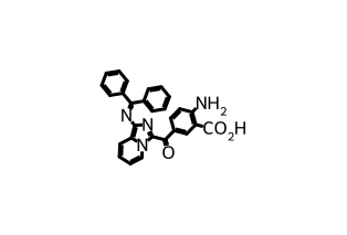 Nc1ccc(C(=O)c2nc(N=C(c3ccccc3)c3ccccc3)c3ccccn23)cc1C(=O)O